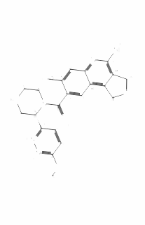 CCOc1ccc([C@H]2COCCN2C(=O)c2cc3c4c(c(N)nc3cc2Cl)COC4)nn1